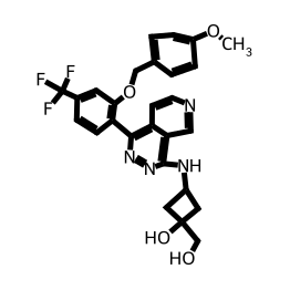 COc1ccc(COc2cc(C(F)(F)F)ccc2-c2nnc(NC3CC(O)(CO)C3)c3cnccc23)cc1